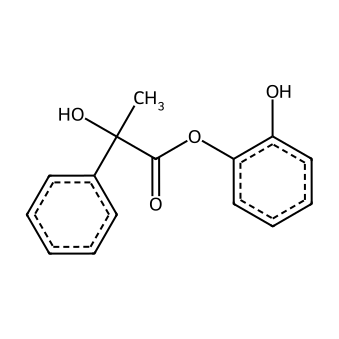 CC(O)(C(=O)Oc1ccccc1O)c1ccccc1